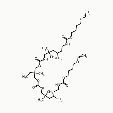 C=COCCCCOC(=O)NCCC(C)CC(C)(C)CNC(=O)OCC(C)(CC)COC(=O)NCC(C)(C)CC(C)CCNC(=O)OCCCCOC=C